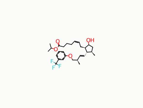 CC(C)OC(=O)CCC/C=C\C[C@@H]1[C@@H](/C=C/[C@@H](C)COc2cccc(C(F)(F)F)c2)[C@H](C)C[C@@H]1O